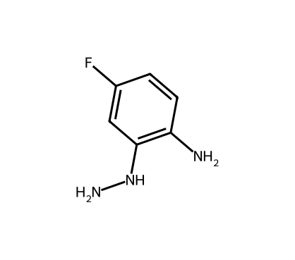 NNc1cc(F)ccc1N